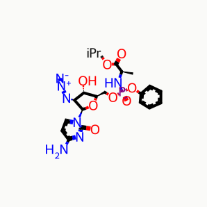 CC(C)OC(=O)[C@@H](C)NP(=O)(OC[C@H]1O[C@@H](n2ccc(N)nc2=O)[C@H](N=[N+]=[N-])[C@@H]1O)Oc1ccccc1